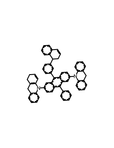 C1=CC2=C(CC1)Cc1ccccc1N2c1ccc2c(-c3ccccc3)c3cc(N4c5ccccc5Cc5ccccc54)ccc3c(-c3cccc(C4CC=Cc5ccccc54)c3)c2c1